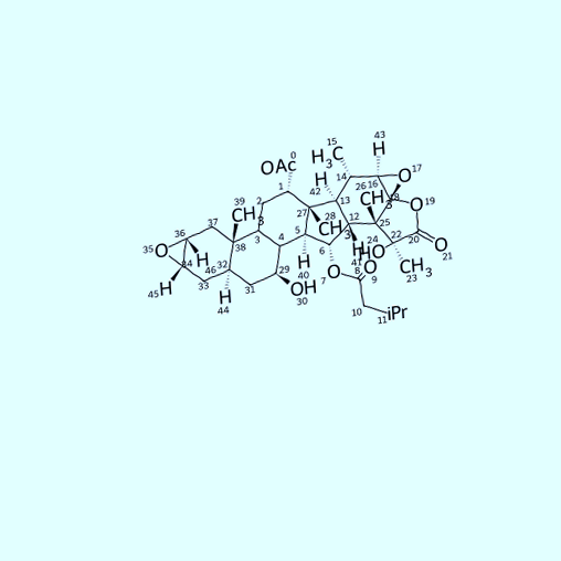 CC(=O)O[C@H]1CC2C([C@@H]3[C@@H](OC(=O)CC(C)C)[C@@H]4[C@H]([C@H](C)[C@H]5O[C@]56OC(=O)[C@@](C)(O)[C@]46C)[C@@]13C)[C@@H](O)C[C@H]1C[C@@H]3O[C@@H]3C[C@]21C